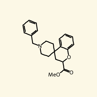 COC(=O)C1CC2(CCN(Cc3ccccc3)CC2)c2ccccc2O1